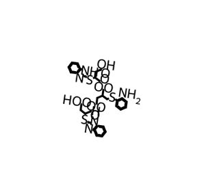 Nc1ccccc1SCC(CC(=O)OC(=O)C(CC(=O)O)Sc1nc2ccccc2[nH]1)C(=O)OC(=O)C(CC(=O)O)Sc1nc2ccccc2[nH]1